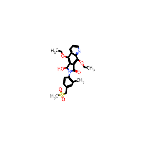 CCOc1c2c(c(OCC)c3ncccc13)C(=O)N(c1ccc(CS(C)(=O)=O)cc1C)C2O